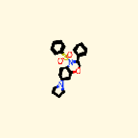 O=S(=O)(c1ccccc1)N1c2ccc(N3CCCC3)cc2OCC1c1ccccc1